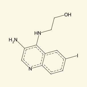 Nc1cnc2ccc(I)cc2c1NCCO